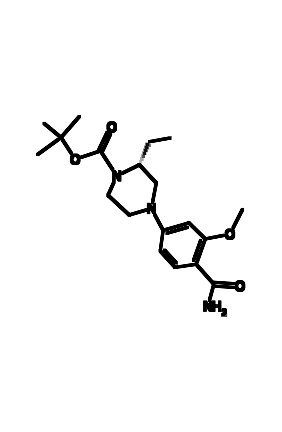 CC[C@@H]1CN(c2ccc(C(N)=O)c(OC)c2)CCN1C(=O)OC(C)(C)C